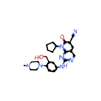 CN1CCN(c2ccc(Nc3ncc4cc(C#N)c(=O)n(C5CCCC5)c4n3)cc2CO)CC1